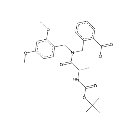 COc1ccc(CN(Cc2ccccc2C(=O)Cl)C(=O)[C@H](C)NC(=O)OC(C)(C)C)c(OC)c1